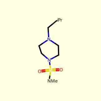 CNS(=O)(=O)N1CCN(CC(C)C)CC1